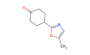 Cc1cnc(C2CCC(=O)CC2)o1